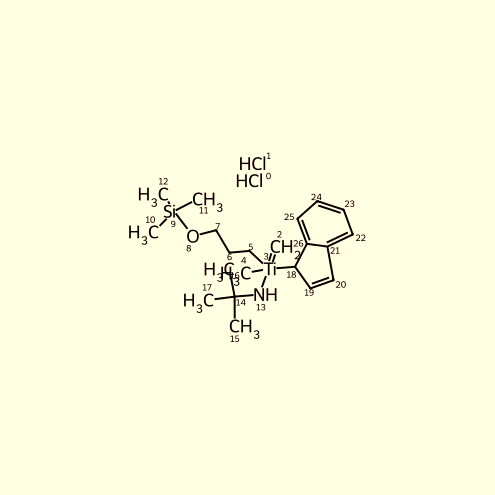 Cl.Cl.[CH2]=[Ti]([CH3])([CH2]CCO[Si](C)(C)C)([NH]C(C)(C)C)[CH]1C=Cc2ccccc21